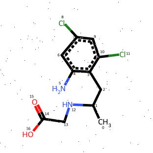 CC(Cc1c(N)cc(Cl)cc1Cl)NCC(=O)O